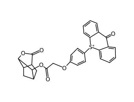 O=C(COc1ccc(-[s+]2c3ccccc3c(=O)c3ccccc32)cc1)OC1C2CC3C(=O)OC1C3C2